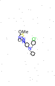 COc1c[n+](C)c(N=Nc2ccc(N(Cc3ccccc3)Cc3ccccc3)cc2)s1.[Cl-]